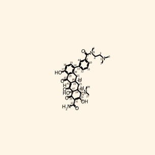 CN(C)CCN(C)C(=O)c1cccc(-c2ccc(O)c3c2C[C@H]2C[C@H]4[C@H](N(C)C)C(O)=C(C(N)=O)C(=O)[C@@]4(O)C(O)=C2C3=O)c1